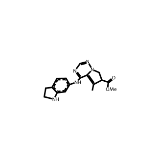 COC(=O)C1CN2N=CN=C(Nc3ccc4c(c3)NCC4)C2=C1C